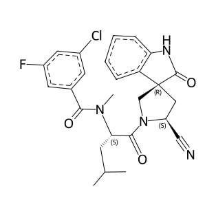 CC(C)C[C@@H](C(=O)N1C[C@]2(C[C@H]1C#N)C(=O)Nc1ccccc12)N(C)C(=O)c1cc(F)cc(Cl)c1